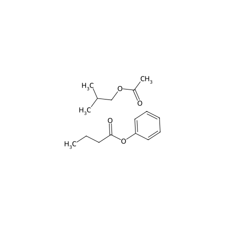 CC(=O)OCC(C)C.CCCC(=O)Oc1ccccc1